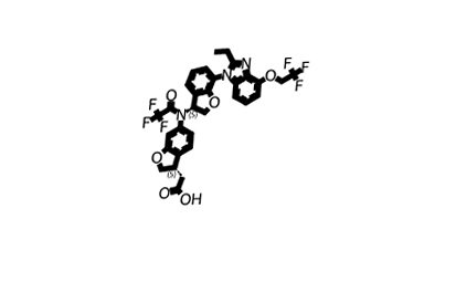 CCc1nc2c(OCC(F)(F)F)cccc2n1-c1cccc2c1OC[C@H]2N(C(=O)C(F)(F)F)c1ccc2c(c1)OC[C@H]2CC(=O)O